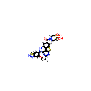 COc1cc2nnsc2cc1Nc1ncnc2sc3c(c12)CC[C@H](C(=O)N1CCS(O)(O)CC1)C3